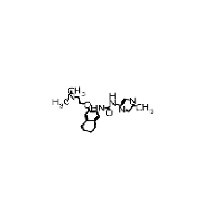 Cc1cnc(NC(=O)Nc2cc3c(cc2OCCN(C)C)CCCC3)cn1